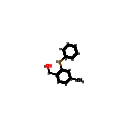 Cc1ccc(CO)c(Sc2ccccc2)c1